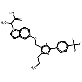 CCCc1nc(-c2ccc(C(F)(F)F)cc2)sc1COc1ccc2c(ccn2C(C)C(=O)O)c1